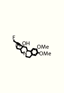 COc1cc2c(cc1OC)C1C[C@](O)(C#CCF)C(CC(C)C)CN1CC2